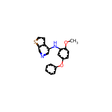 COc1ccc(Oc2ccccc2)cc1Nc1cncc2sccc12